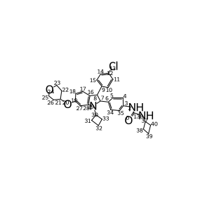 O=C(Nc1ccc(C2C(c3ccc(Cl)cc3)c3ccc(OC4CCOCC4)cc3N2C2CCC2)cc1)NC1CCC1